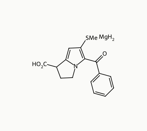 CSc1cc2n(c1C(=O)c1ccccc1)CCC2C(=O)O.[MgH2]